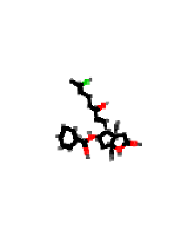 C/C(Cl)=C/CCC(=O)/C=C/[C@@H]1[C@H]2CC(=O)O[C@H]2C[C@H]1OC(=O)c1ccccc1